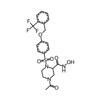 CC(=O)N1CCN(S(=O)(=O)c2ccc(OCc3ccccc3C(F)(F)F)cc2)C(C(=O)NO)C1